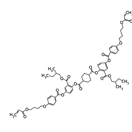 C=CC(=O)OCCCCOc1ccc(C(=O)Oc2ccc(OC(=O)C3CCC(C(=O)Oc4ccc(OC(=O)c5ccc(OCCCCOC(=O)C=C)cc5)cc4C(=O)OCC(C)CC)CC3)c(C(=O)OCC(C)CC)c2)cc1